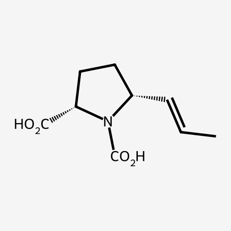 CC=C[C@H]1CC[C@@H](C(=O)O)N1C(=O)O